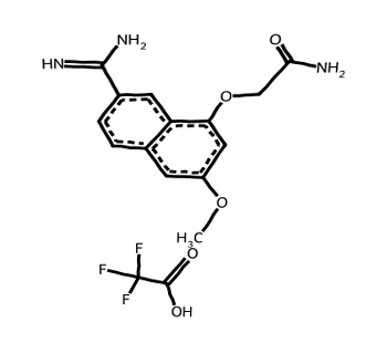 COc1cc(OCC(N)=O)c2cc(C(=N)N)ccc2c1.O=C(O)C(F)(F)F